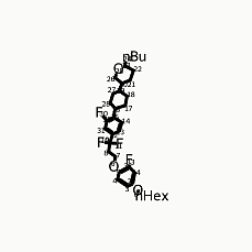 CCCCCCOc1ccc(OCCC(F)(F)c2ccc(C3CCC(C4CCC(CCCC)OC4)CC3)c(F)c2)c(F)c1